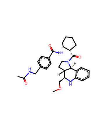 COC[C@@H]1Nc2ccccc2[C@H]2[C@H]1CCN2C(=O)[C@H]1CCCC[C@H]1NC(=O)c1ccc(CNC(C)=O)cc1